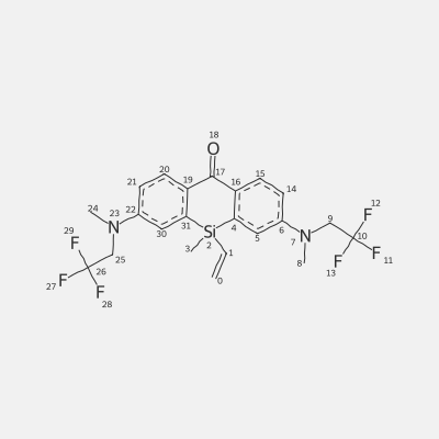 C=C[Si]1(C)c2cc(N(C)CC(F)(F)F)ccc2C(=O)c2ccc(N(C)CC(F)(F)F)cc21